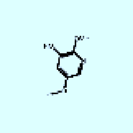 COc1ncc(OC(C)C)cc1O